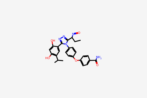 CCC(N=O)c1nnc(-c2cc(C(C)C)c(O)cc2O)n1-c1ccc(Oc2ccc(C(N)=O)cc2)cc1